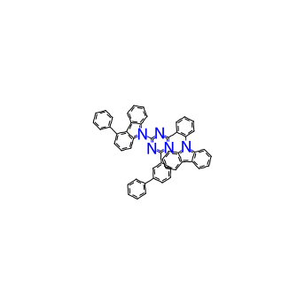 c1ccc(-c2cccc(-c3nc(-c4ccccc4-n4c5ccccc5c5ccccc54)nc(-n4c5ccccc5c5c(-c6ccccc6)cccc54)n3)c2)cc1